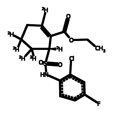 [2H]C1=C(C(=O)OCC)[C@]([2H])(S(=O)(=O)Nc2ccc(F)cc2Cl)C([2H])([2H])C([2H])([2H])C1